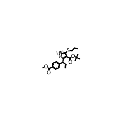 C=CC(c1ccc(C(=O)OC)cc1)c1n[nH]c(SCCC)c1C(=O)OC(C)(C)C